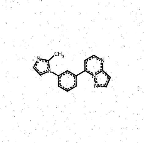 Cc1nccn1-c1cccc(-c2ccnc3ccnn23)c1